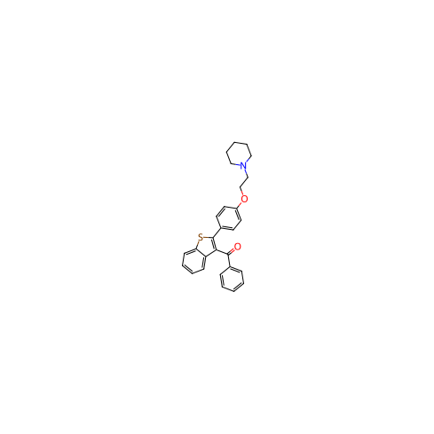 O=C(c1ccccc1)c1c(-c2ccc(OCCN3CCCCC3)cc2)sc2ccccc12